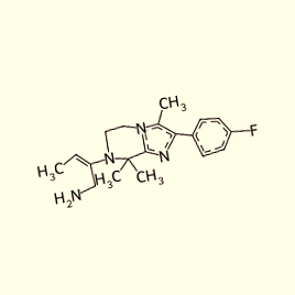 CC=C(CN)N1CCn2c(nc(-c3ccc(F)cc3)c2C)C1(C)C